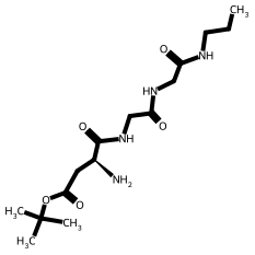 CCCNC(=O)CNC(=O)CNC(=O)[C@@H](N)CC(=O)OC(C)(C)C